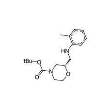 Cc1ccccc1NC[C@@H]1CN(C(=O)OC(C)(C)C)CCO1